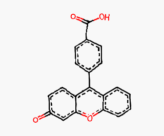 O=C(O)c1ccc(-c2c3ccc(=O)cc-3oc3ccccc23)cc1